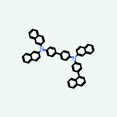 c1ccc2cc(N(c3ccc(-c4ccc(N(c5ccc6ccccc6c5)c5ccc6ccccc6c5)cc4)cc3)c3ccc(-c4cccc5ccccc45)cc3)ccc2c1